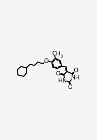 Cc1cc(C=C2C(=O)NC(=O)NC2=O)ccc1OCCCCC1CCCCC1